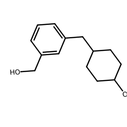 OCc1cccc(CC2CCC(O)CC2)c1